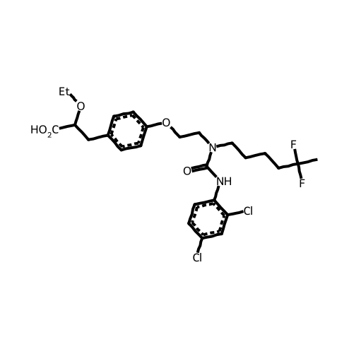 CCOC(Cc1ccc(OCCN(CCCCC(C)(F)F)C(=O)Nc2ccc(Cl)cc2Cl)cc1)C(=O)O